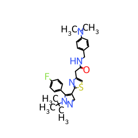 CN(C)c1ccc(CNC(=O)Cc2csc(-c3cnn(C(C)(C)C)c3-c3ccc(F)cc3)n2)cc1